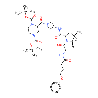 CC(C)(C)OC(=O)N1CCN(C(=O)OC(C)(C)C)[C@@H](C(=O)N2CC(NC(=O)[C@@H]3C[C@]4(C)C[C@@H]4N3C(=O)CNC(=O)CCCOc3ccccc3)C2)C1